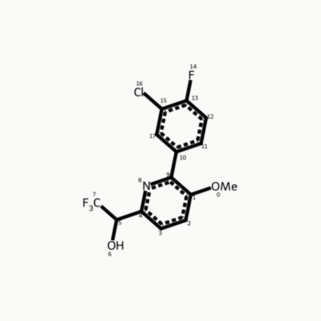 COc1ccc(C(O)C(F)(F)F)nc1-c1ccc(F)c(Cl)c1